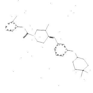 Cc1oncc1NC(=O)N1CCC(=Cc2cccc(OC3CCC(C)(C)CC3)c2)C(C)C1